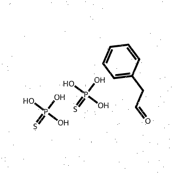 O=CCc1ccccc1.OP(O)(O)=S.OP(O)(O)=S